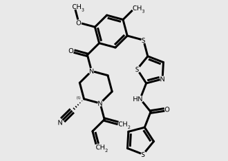 C=CC(=C)N1CCN(C(=O)c2cc(Sc3cnc(NC(=O)c4ccsc4)s3)c(C)cc2OC)C[C@H]1C#N